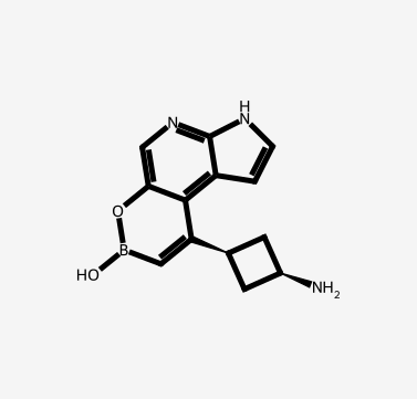 N[C@H]1C[C@@H](C2=CB(O)Oc3cnc4[nH]ccc4c32)C1